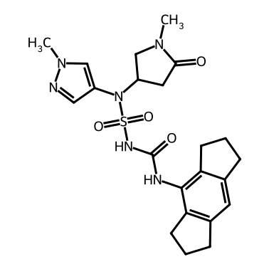 CN1CC(N(c2cnn(C)c2)S(=O)(=O)NC(=O)Nc2c3c(cc4c2CCC4)CCC3)CC1=O